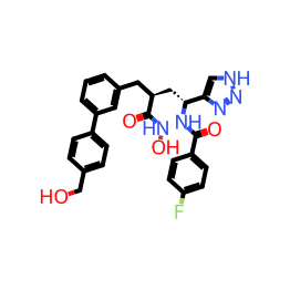 O=C(N[C@H](C[C@H](Cc1cccc(-c2ccc(CO)cc2)c1)C(=O)NO)c1c[nH]nn1)c1ccc(F)cc1